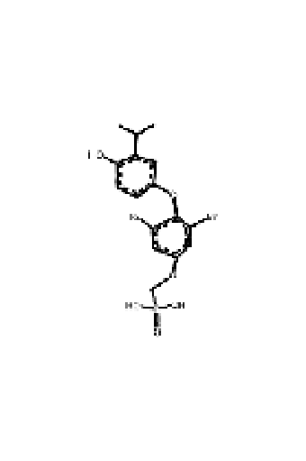 CC(C)c1cc(Oc2c(Br)cc(OCP(=O)(O)O)cc2Br)ccc1O